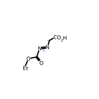 CCOC(=O)/N=N/[CH]C(=O)O